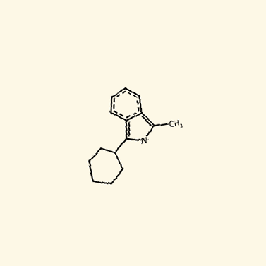 CC1=c2ccccc2=C(C2CCCCC2)[N]1